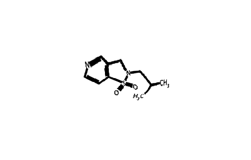 CC(C)CN1Cc2cnccc2S1(=O)=O